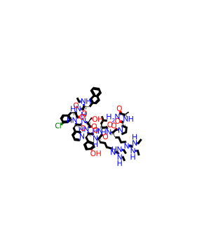 CCNC(=NCCCC[C@H](NC(=O)[C@H](CC(C)C)NC(=O)[C@@H](CCCCN=C(NCC)NCC)NC(=O)[C@@H](Cc1ccc(O)cc1)NC(=O)[C@H](CO)NC(=O)[C@@H](Cc1cccnc1)NC(=O)[C@@H](Cc1ccc(Cl)cc1)NC(=O)[C@@H](Cc1ccc2ccccc2c1)NC(C)=O)C(=O)N1CCC[C@H]1C(=O)N[C@H](C)C(N)=O)NCC